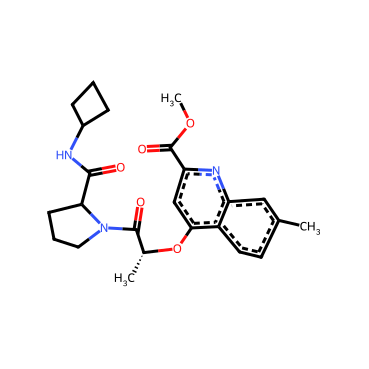 COC(=O)c1cc(O[C@H](C)C(=O)N2CCCC2C(=O)NC2CCC2)c2ccc(C)cc2n1